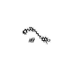 Cl.Cl.Cl.Cn1c(=O)ccc2cc(OCCCCCNCc3ccnc(CCc4cccnc4)c3)ccc21